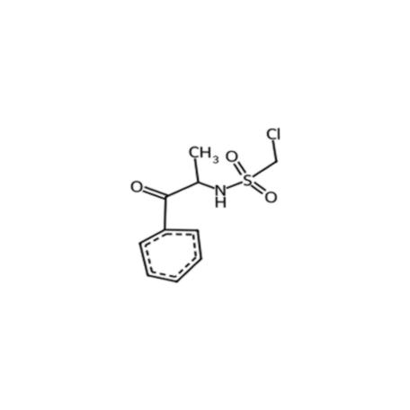 CC(NS(=O)(=O)CCl)C(=O)c1ccccc1